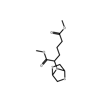 COC(=O)CCCC(C(=O)OC)N1C2CSC1CS2